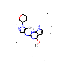 CCOc1nc(Nc2cnn(C3CCCOC3)c2C)nc2[nH]ccc12